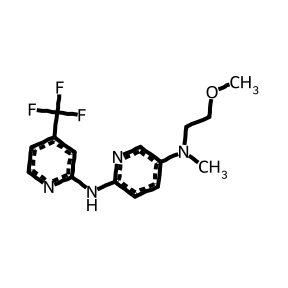 COCCN(C)c1ccc(Nc2cc(C(F)(F)F)ccn2)nc1